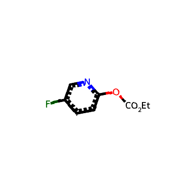 CCOC(=O)Oc1c[c]c(F)cn1